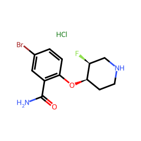 Cl.NC(=O)c1cc(Br)ccc1O[C@@H]1CCNC[C@@H]1F